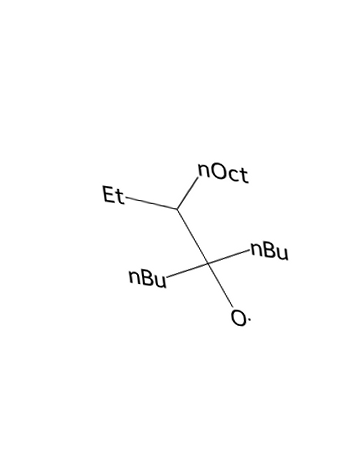 CCCCCCCCC(CC)C([O])(CCCC)CCCC